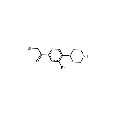 O=C(CBr)c1ccc(N2CCNCC2)c(Br)c1